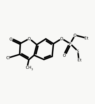 CCOP(=O)(Oc1ccc2c(C)c(Cl)c(=O)oc2c1)SCC